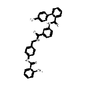 Cc1ccccc1C(=O)Nc1ccc(CNC(=O)c2cccc(NC(=O)c3ccccc3-c3ccc(C(F)(F)F)cc3)c2)cc1